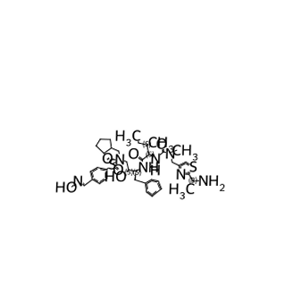 CC[C@H](C)[C@H](NC(=O)N(C)Cc1csc([C@@H](C)N)n1)C(=O)N[C@@H](Cc1ccccc1)[C@@H](O)CN(CC1CCCC1)S(=O)(=O)c1ccc(C=NO)cc1